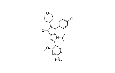 CNc1ncc(-c2cc3c(n2C(C)C)C(c2ccc(Cl)cc2)N(C2CCOCC2)C3=O)c(OC)n1